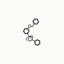 c1ccc(COc2cccc(C3=NC(c4ccccc4)CO3)c2)cc1